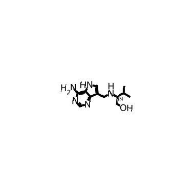 CC(C)[C@@H](CO)NCc1c[nH]c2c(N)ncnc12